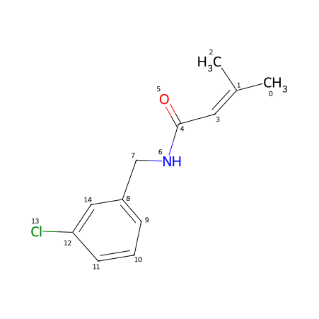 CC(C)=CC(=O)NCc1cccc(Cl)c1